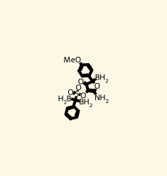 BC1(c2ccc(OC)cc2)OC(N)=C(OS(=O)(=O)C(B)(B)c2ccccc2)C1=O